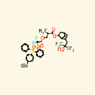 C=C(COCC(F)(F)S(=O)(=O)OS(c1ccccc1)(c1ccccc1)c1ccc(C(C)(C)C)cc1)C(=O)OC1CC2CC(CC(O)(C(F)(F)F)C(F)(F)F)C1C2